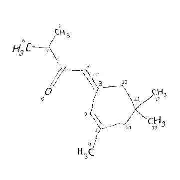 CC1=C/C(=C\C(=O)C(C)C)CC(C)(C)C1